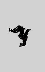 CCO[C@H]1CC[C@H](n2cc(NC(=O)c3csc(-c4cnn(C(C)OP(=O)([O-])O)c4)n3)c(-c3nc(F)ccc3F)n2)CC1.[K+]